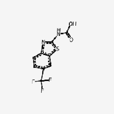 O=C(O)Nc1nc2ccc(C(F)(F)F)cc2s1